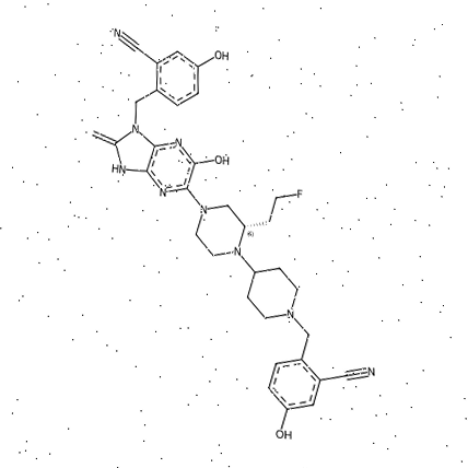 C=C1Nc2nc(N3CCN(C4CCN(Cc5ccc(O)cc5C#N)CC4)[C@@H](CCF)C3)c(O)nc2N1Cc1ccc(O)cc1C#N